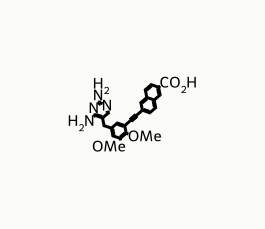 COc1cc(Cc2cnc(N)nc2N)cc(C#Cc2ccc3cc(C(=O)O)ccc3c2)c1OC